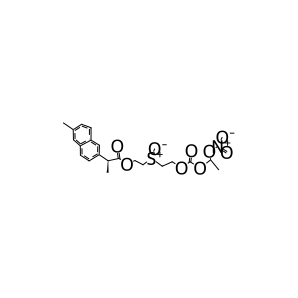 Cc1ccc2cc([C@H](C)C(=O)OCC[S+]([O-])CCOC(=O)OC(C)O[N+](=O)[O-])ccc2c1